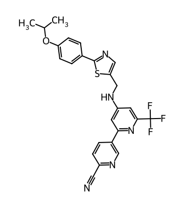 CC(C)Oc1ccc(-c2ncc(CNc3cc(-c4ccc(C#N)nc4)nc(C(F)(F)F)c3)s2)cc1